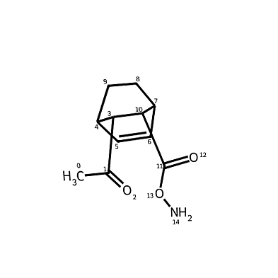 CC(=O)C1C2C=CC(CC2)C1C(=O)ON